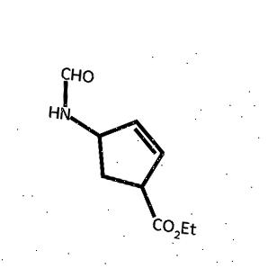 CCOC(=O)C1C=CC(NC=O)C1